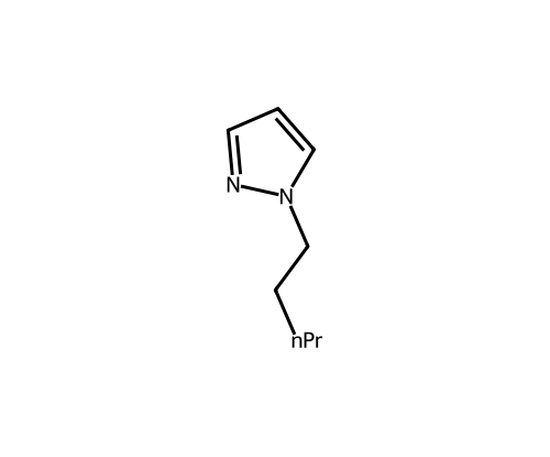 CCCCCn1cccn1